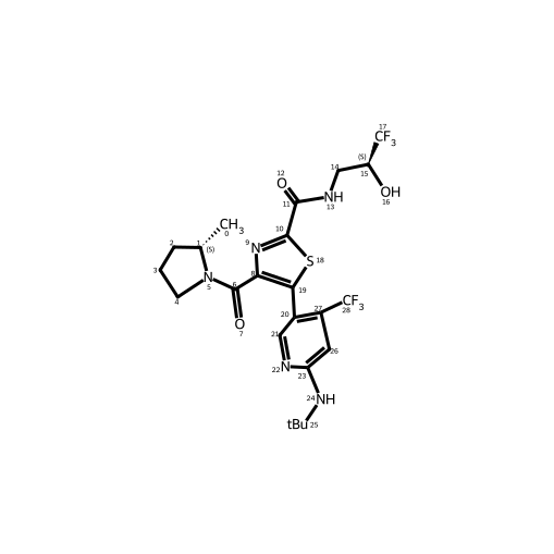 C[C@H]1CCCN1C(=O)c1nc(C(=O)NC[C@H](O)C(F)(F)F)sc1-c1cnc(NC(C)(C)C)cc1C(F)(F)F